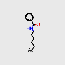 CC(=O)CCCCCNC(=O)c1ccccc1